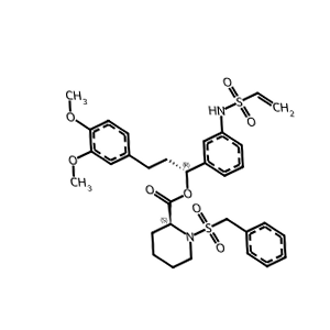 C=CS(=O)(=O)Nc1cccc([C@@H](CCc2ccc(OC)c(OC)c2)OC(=O)[C@@H]2CCCCN2S(=O)(=O)Cc2ccccc2)c1